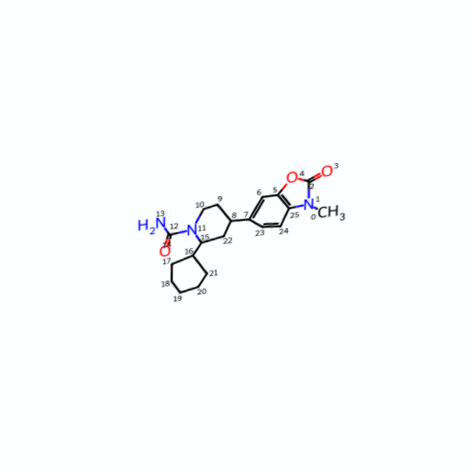 Cn1c(=O)oc2cc(C3CCN(C(N)=O)C(C4CCCCC4)C3)ccc21